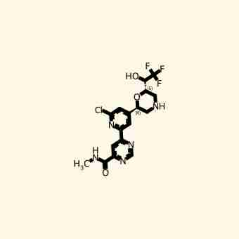 CNC(=O)c1cc(-c2cc([C@@H]3CNC[C@@H](C(O)C(F)(F)F)O3)cc(Cl)n2)ncn1